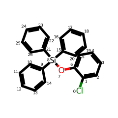 Clc1ccccc1O[Si](c1ccccc1)(c1ccccc1)c1ccccc1